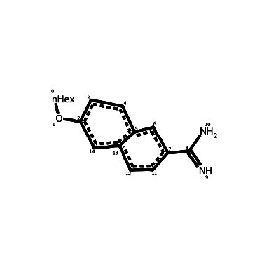 CCCCCCOc1ccc2cc(C(=N)N)ccc2c1